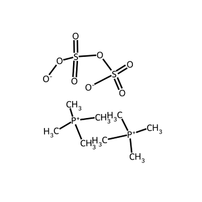 C[P+](C)(C)C.C[P+](C)(C)C.O=S(=O)([O-])OS(=O)(=O)O[O-]